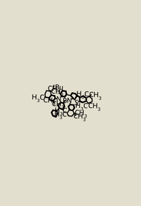 Cc1cc2c(cc1N1c3cc(-c4ccccc4)ccc3B3c4c(cc(C(C)(C)C)cc41)-c1ccc4c(sc5cc6c(cc54)C(C)(C)CCC6(C)C)c1N3c1ccc3c(c1)C(C)(C)CCC3(C)C)C(C)(C)CCC2(C)C